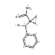 N=C(N)C1([S+]([O-])c2ccccc2)CC1